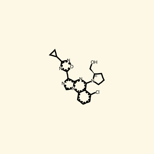 OC[C@H]1CCCN1c1nc2c(-c3nc(C4CC4)no3)ncn2c2cccc(Cl)c12